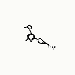 Cc1cc(N2CCC2C)nc(N2CC3C(CC(=O)O)C3C2)n1